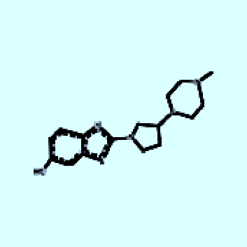 CN1CCN(C2CCN(c3nc4ccc(O)cc4s3)C2)CC1